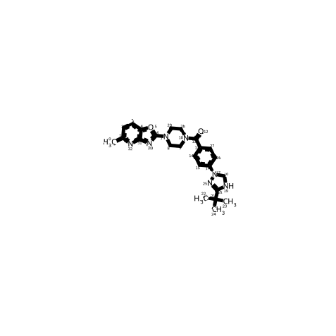 Cc1ccc2oc(N3CCN(C(=O)c4ccc(N5CNC(C(C)(C)C)=N5)cc4)CC3)nc2n1